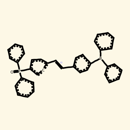 O=P(c1ccccc1)(c1ccccc1)c1ccc(/C=C/c2ccc(B(c3ccccc3)c3ccccc3)cc2)cc1